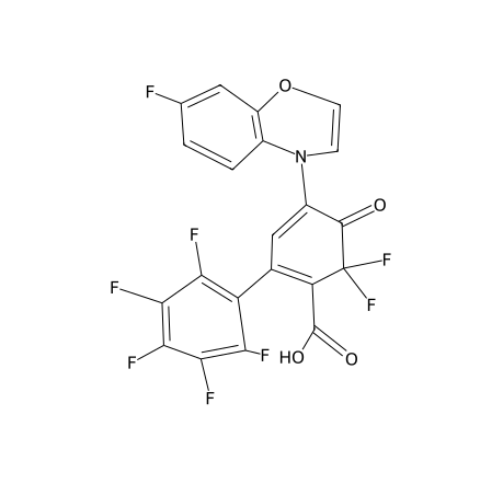 O=C(O)C1=C(c2c(F)c(F)c(F)c(F)c2F)C=C(N2C=COc3cc(F)ccc32)C(=O)C1(F)F